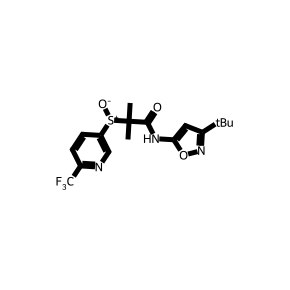 CC(C)(C)c1cc(NC(=O)C(C)(C)[S+]([O-])c2ccc(C(F)(F)F)nc2)on1